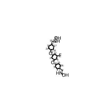 ONCc1ccc(Oc2cc(F)cc(Oc3ccc(CNO)cc3)c2)cc1